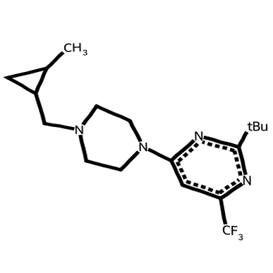 CC1CC1CN1CCN(c2cc(C(F)(F)F)nc(C(C)(C)C)n2)CC1